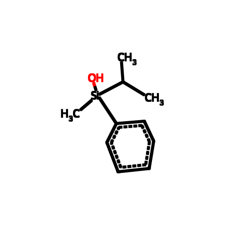 CC(C)[Si](C)(O)c1ccccc1